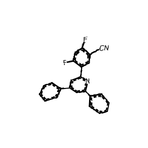 N#Cc1cc(-c2cc(-c3ccccc3)cc(-c3ccccc3)n2)c(F)cc1F